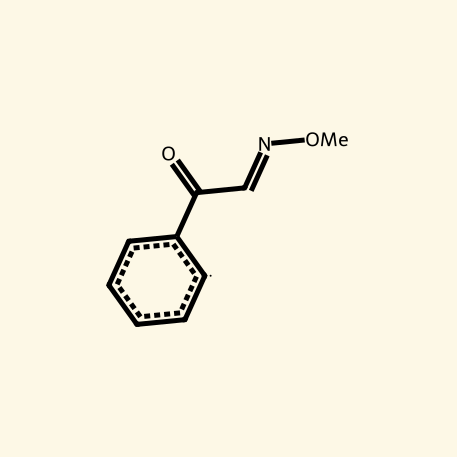 CON=CC(=O)c1[c]cccc1